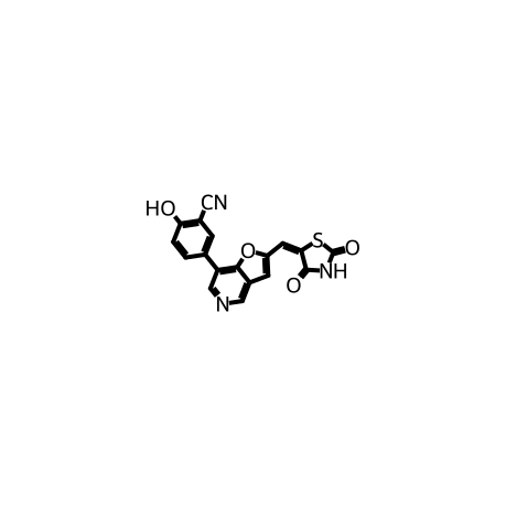 N#Cc1cc(-c2cncc3cc(/C=C4/SC(=O)NC4=O)oc23)ccc1O